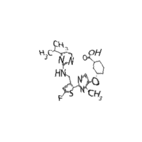 Cc1nc(-c2sc(F)cc2CNc2nccc(C(C)C)n2)ncc1O[C@H]1CCC[C@H](C(=O)O)C1